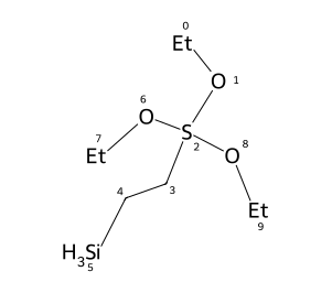 CCOS(CC[SiH3])(OCC)OCC